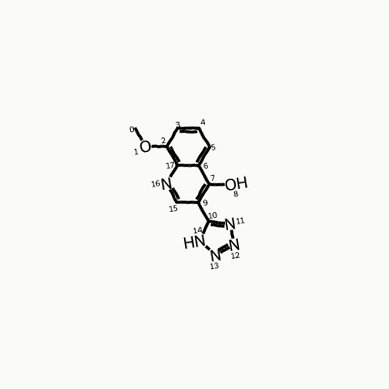 COc1cccc2c(O)c(-c3nnn[nH]3)cnc12